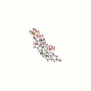 C[C@@H]1C[C@H]2[C@@H]3CCC4=CC(=O)C=C[C@]4(C)[C@@]3(F)[C@@H](O)C[C@]2(C)[C@@]1(O)C(=O)[CH]([Na])OP(=O)(O)O